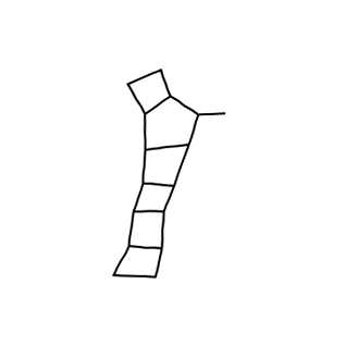 CC1C2CCC2C2C1C1C3C4CCC4C3C21